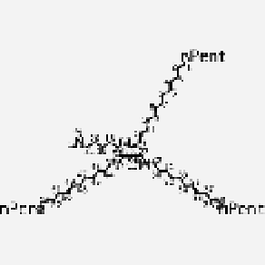 CCCCCC=CCC=CCCCCCCCCC(OC(=O)CCCCN(C)C)C(O)(CCCCCCCCC=CCC=CCCCCC)CCCCCCCCC=CCC=CCCCCC